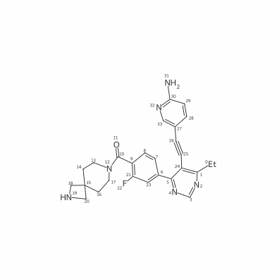 CCc1ncnc(-c2ccc(C(=O)N3CCC4(CC3)CNC4)c(F)c2)c1C#Cc1ccc(N)nc1